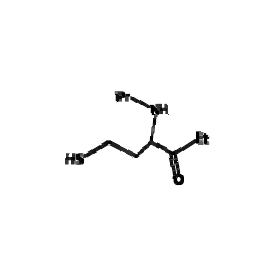 CCC(=O)C(CCS)NC(C)C